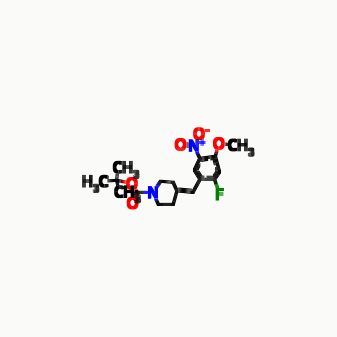 COc1cc(F)c(C=C2CCN(C(=O)OC(C)(C)C)CC2)cc1[N+](=O)[O-]